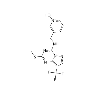 CSc1nc(NCc2ccc[n+](O)c2)n2ncc(C(F)(F)F)c2n1